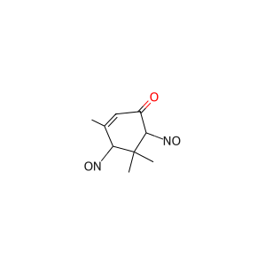 CC1=CC(=O)C(N=O)C(C)(C)C1N=O